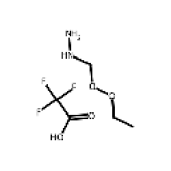 CCOOCNN.O=C(O)C(F)(F)F